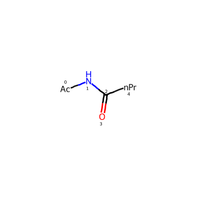 [CH2]C(=O)NC(=O)CCC